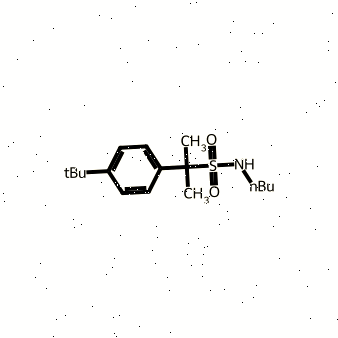 CCCCNS(=O)(=O)C(C)(C)c1ccc(C(C)(C)C)cc1